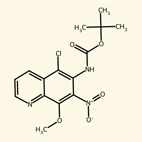 COc1c([N+](=O)[O-])c(NC(=O)OC(C)(C)C)c(Cl)c2cccnc12